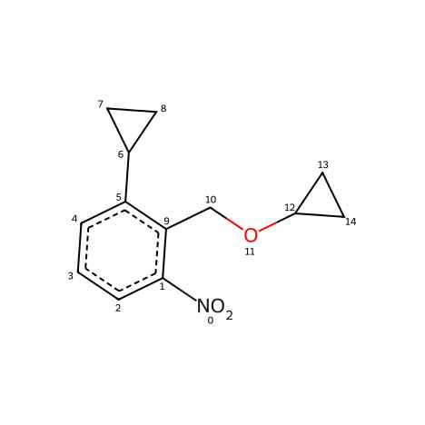 O=[N+]([O-])c1cccc(C2CC2)c1COC1CC1